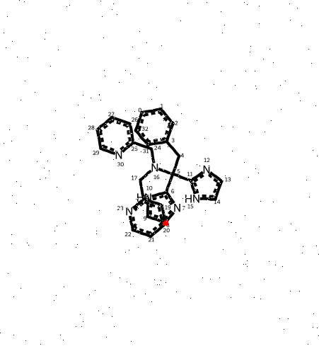 c1ccc(CC(c2ncc[nH]2)(c2ncc[nH]2)N(Cc2ccccn2)Cc2ccccn2)cc1